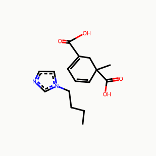 CC1(C(=O)O)C=CC=C(C(=O)O)C1.CCCCn1ccnc1